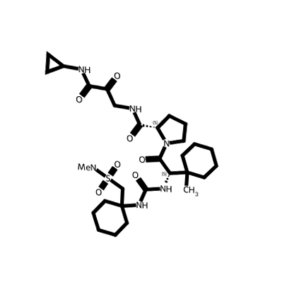 CNS(=O)(=O)CC1(NC(=O)N[C@H](C(=O)N2CCC[C@H]2C(=O)NCC(=O)C(=O)NC2CC2)C2(C)CCCCC2)CCCCC1